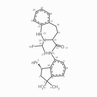 CCC[C@@H]1CC(C)(C)c2cccc(NC(=O)C3CCc4ccccc4NN3C(F)F)c21